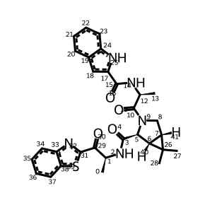 C[C@H](NC(=O)[C@@H]1[C@@H]2[C@H](CN1C(=O)[C@H](C)NC(=O)c1cc3ccccc3[nH]1)C2(C)C)C(=O)c1nc2ccccc2s1